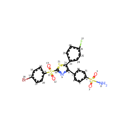 NS(=O)(=O)c1ccc(-c2nc(S(=O)(=O)c3ccc(Br)cc3)sc2-c2ccc(F)cc2)cc1